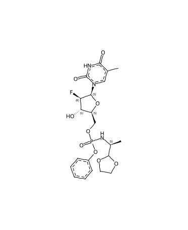 Cc1cn([C@H]2O[C@@H](COP(=O)(N[C@@H](C)C3OCCO3)Oc3ccccc3)[C@H](O)[C@H]2F)c(=O)[nH]c1=O